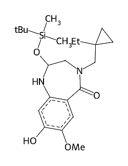 CCC1(CN2CC(O[Si](C)(C)C(C)(C)C)Nc3cc(O)c(OC)cc3C2=O)CC1